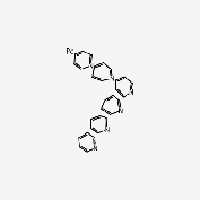 [Pd].c1ccncc1.c1ccncc1.c1ccncc1.c1ccncc1.c1ccncc1.c1ccncc1